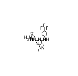 CCn1ncc2c(Nc3ccc(C(F)(F)F)cc3)nc(NCC3(N)CC3)nc21